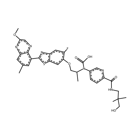 COc1cnc2c(-c3nc4cc(F)c(OCC(C)N(C(=O)O)c5ccc(C(=O)NCC(C)(C)CO)nc5)cc4s3)cc(C)cc2n1